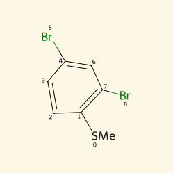 CSc1ccc(Br)cc1Br